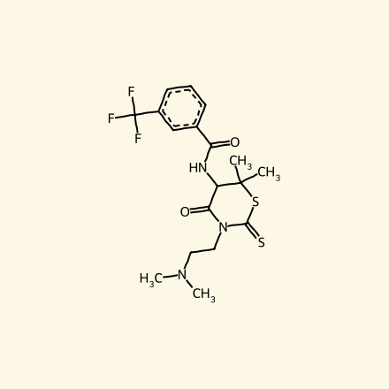 CN(C)CCN1C(=O)C(NC(=O)c2cccc(C(F)(F)F)c2)C(C)(C)SC1=S